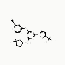 N#Cc1cc(Nc2nc(N[C@H]3CCC(F)(F)C3)nc(-n3ccc(C(F)(F)F)n3)n2)ccn1